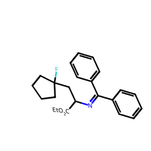 CCOC(=O)C(CC1(F)CCCC1)N=C(c1ccccc1)c1ccccc1